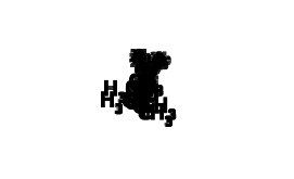 COc1cc(OC(C)C)c(C(=O)c2nc3cc(OCc4ccccc4)c(OCc4ccccc4)cc3s2)cc1OC(C)C